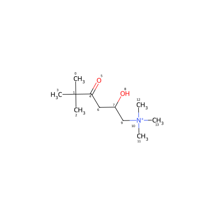 CC(C)(C)C(=O)CC(O)C[N+](C)(C)C